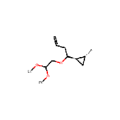 C=CCC(OCC(OCC)OCC)[C@@H]1C[C@H]1C